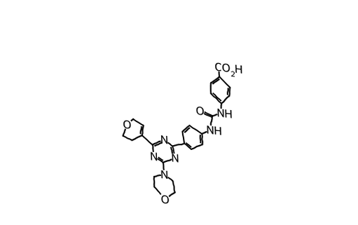 O=C(Nc1ccc(C(=O)O)cc1)Nc1ccc(-c2nc(C3=CCOCC3)nc(N3CCOCC3)n2)cc1